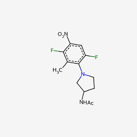 CC(=O)NC1CCN(c2c(F)cc([N+](=O)[O-])c(F)c2C)C1